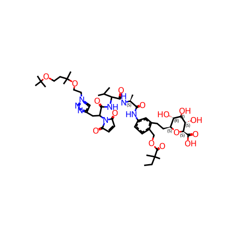 CCC(C)(C)C(=O)OCc1ccc(NC(=O)[C@H](C)NC(=O)C(NC(=O)C(Cc2cn(CCOC(C)(C)CCOC(C)(C)C)nn2)N2C(=O)C=CC2=O)C(C)C)cc1CC[C@@H]1O[C@H](C(=O)O)[C@@H](O)[C@H](O)[C@H]1O